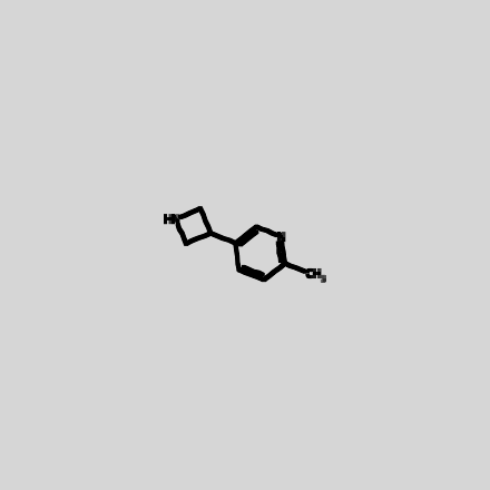 Cc1ccc(C2CNC2)cn1